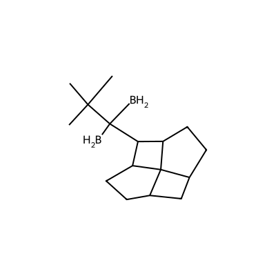 BC(B)(C1C2CCC3CC4CCC1C342)C(C)(C)C